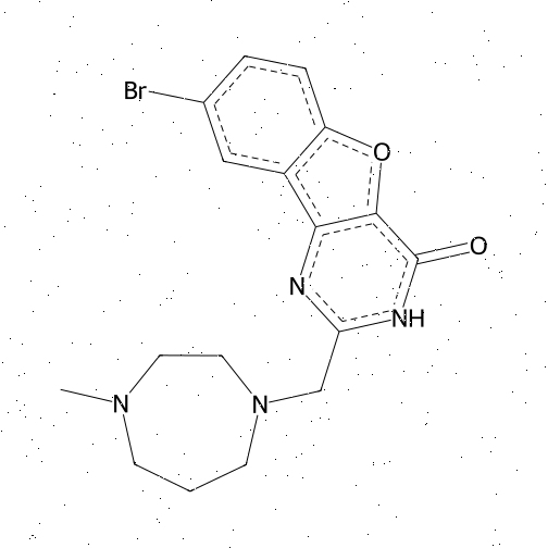 CN1CCCN(Cc2nc3c(oc4ccc(Br)cc43)c(=O)[nH]2)CC1